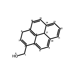 OCC1=CCC2=C3C1=CC=C1C=CC=C(C=C2)C13